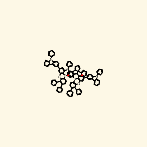 C1=CC(c2ccccc2)(C2c3cc4c(cc3B3c5ccc(-c6ccccc6)c(-c6ccccc6)c5Oc5cc(-c6ccc7c(c6)c6ccccc6n7-c6ccccc6)cc2c53)B2c3ccc(-c5ccccc5)c(-c5ccccc5)c3Oc3cc(-c5ccc6c(c5)c5ccccc5n6-c5ccccc5)cc(c32)N4c2ccccc2)C(c2ccccc2)=C1